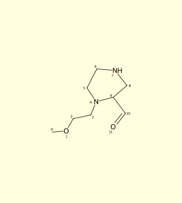 COCCN1CCNCC1C=O